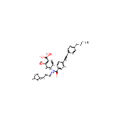 CCCCc1ccc(C#Cc2ccc(C(=O)N(CCCC3CCCC3)c3ccc(C(=O)O)c(O)c3)cc2)cc1